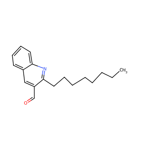 CCCCCCCCc1nc2ccccc2cc1C=O